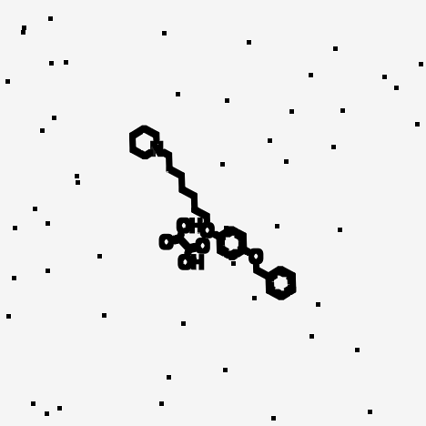 O=C(O)C(=O)O.c1ccc(COc2ccc(OCCCCCCCN3CCCCC3)cc2)cc1